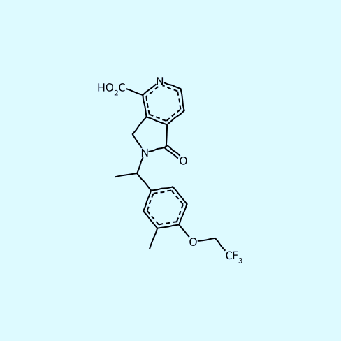 Cc1cc(C(C)N2Cc3c(ccnc3C(=O)O)C2=O)ccc1OCC(F)(F)F